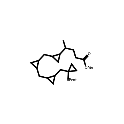 CCCCCC1(CC2CC2CC2CC2CC2CC2C(C)CCC(=O)OC)CC1